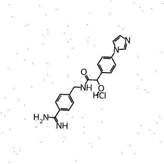 COC(C(=O)NCc1ccc(C(=N)N)cc1)c1ccc(-n2ccnc2)cc1.Cl